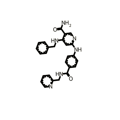 NC(=O)c1cnc(Nc2ccc(C(=O)NCc3ccccn3)cc2)cc1NCc1ccccc1